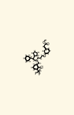 COC(=O)/C=C1\C=CC=C(OCCCN(Cc2cccc(C(F)(F)F)c2Cl)CC(c2ccccc2)C2CCCC2)C1